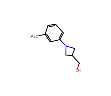 COc1cccc(N2CC(CO)C2)c1